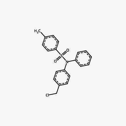 Cc1ccc(S(=O)(=O)N(c2ccccc2)c2ccc(CCl)cc2)cc1